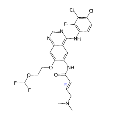 CN(C)C/C=C/C(=O)Nc1cc2c(Nc3ccc(Cl)c(Cl)c3F)ncnc2cc1OCCOC(F)F